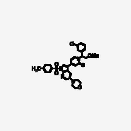 COCC(c1cccc(Cl)c1)n1ccc(-c2cn(S(=O)(=O)c3ccc(C)cc3)c3ncc(N4CCOCC4)cc23)cc1=O